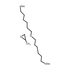 CC1CO1.CCCCCCCCCCCCCCCCOCCCCCCCCCCCCCCCC